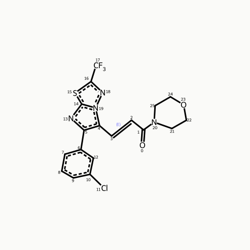 O=C(/C=C/c1c(-c2cccc(Cl)c2)nc2sc(C(F)(F)F)nn12)N1CCOCC1